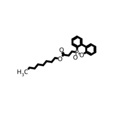 CCCCCCCCOC(=O)CCP1(=O)Oc2ccccc2-c2ccccc21